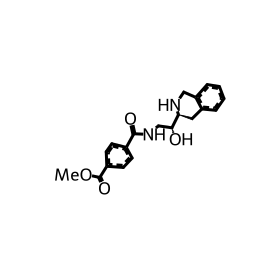 COC(=O)c1ccc(C(=O)NC[C@@H](O)[C@@H]2Cc3ccccc3CN2)cc1